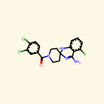 NC1=NC2(CCN(C(=O)c3ccc(Cl)c(Cl)c3)CC2)Nc2cccc(F)c21